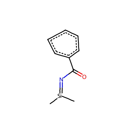 C[Si](C)=NC(=O)c1ccccc1